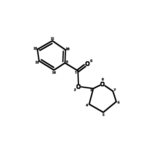 O=C(OC1CCCCO1)c1cc[c]cc1